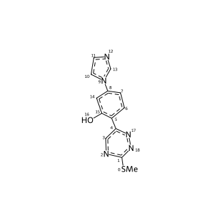 CSc1ncc(-c2ccc(-n3ccnc3)cc2O)nn1